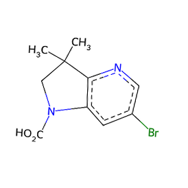 CC1(C)CN(C(=O)O)c2cc(Br)cnc21